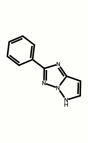 c1ccc(-c2nc3cc[nH]n3n2)cc1